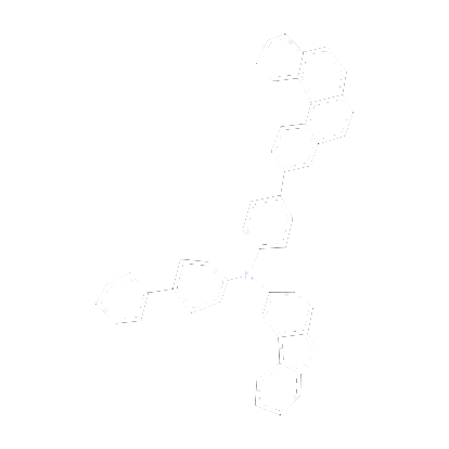 c1ccc(-c2ccc(N(c3ccc(-c4ccc5c(ccc6ccc7ccccc7c65)c4)cc3)c3ccc4oc5ccccc5c4c3)cc2)cc1